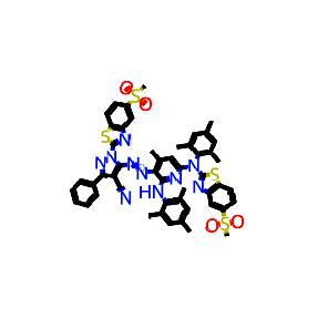 Cc1cc(C)c(Nc2nc(N(c3nc4cc(S(C)(=O)=O)ccc4s3)c3c(C)cc(C)cc3C)cc(C)c2/N=N/c2c(C#N)c(-c3ccccc3)nn2-c2nc3cc(S(C)(=O)=O)ccc3s2)c(C)c1